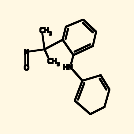 CC(C)(N=O)c1ccccc1NC1=CCCC=C1